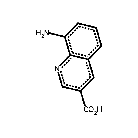 Nc1cccc2cc(C(=O)O)cnc12